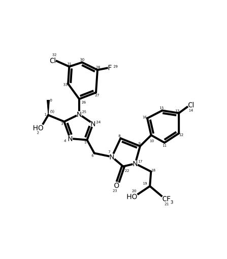 C[C@H](O)c1nc(Cn2cc(-c3ccc(Cl)cc3)n(CC(O)C(F)(F)F)c2=O)nn1-c1cc(F)cc(Cl)c1